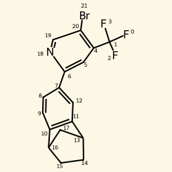 FC(F)(F)c1cc(-c2ccc3c(c2)C2CCC3C2)ncc1Br